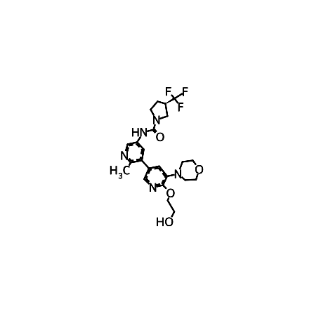 Cc1ncc(NC(=O)N2CC[C@@H](C(F)(F)F)C2)cc1-c1cnc(OCCO)c(N2CCOCC2)c1